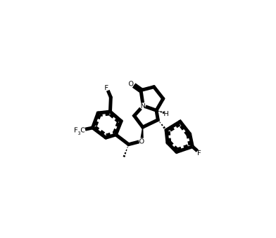 C[C@@H](O[C@H]1CN2C(=O)CC[C@H]2[C@@H]1c1ccc(F)cc1)c1cc(CF)cc(C(F)(F)F)c1